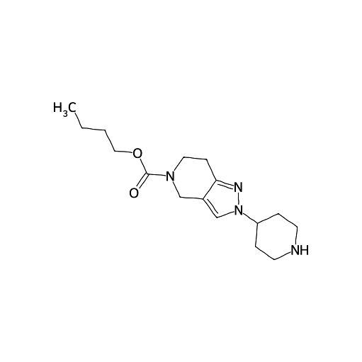 CCCCOC(=O)N1CCc2nn(C3CCNCC3)cc2C1